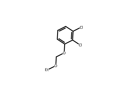 CCOCOc1cccc(Cl)c1Cl